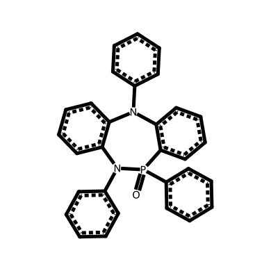 O=P1(c2ccccc2)c2ccccc2N(c2ccccc2)c2ccccc2N1c1ccccc1